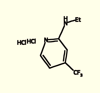 CCNc1cc(C(F)(F)F)ccn1.Cl.Cl